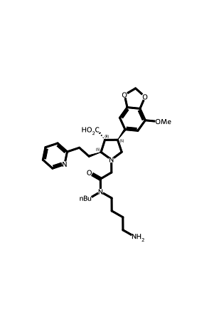 CCCCN(CCCCN)C(=O)CN1C[C@H](c2cc(OC)c3c(c2)OCO3)[C@@H](C(=O)O)[C@@H]1CCc1ccccn1